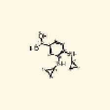 OB(O)c1ccc(NC2CC2)c(NC2CC2)c1